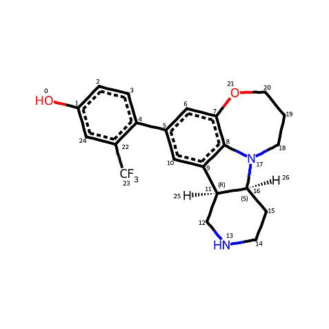 Oc1ccc(-c2cc3c4c(c2)[C@@H]2CNCC[C@@H]2N4CCCO3)c(C(F)(F)F)c1